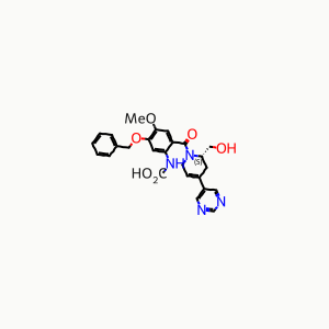 COc1cc(C(=O)N2CC=C(c3cncnc3)C[C@H]2CO)c(NC(=O)O)cc1OCc1ccccc1